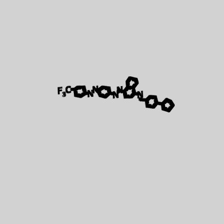 FC(F)(F)c1ccc(/N=N/c2ccc(/N=N/c3ccc(/N=C/c4ccc(-c5ccccc5)cc4)c4ccccc34)cc2)cc1